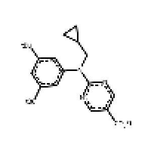 CCOC(=O)c1cnc(N(CC2CC2)c2cc(C(C)(C)C)cc(C(C)(C)C)c2)nc1